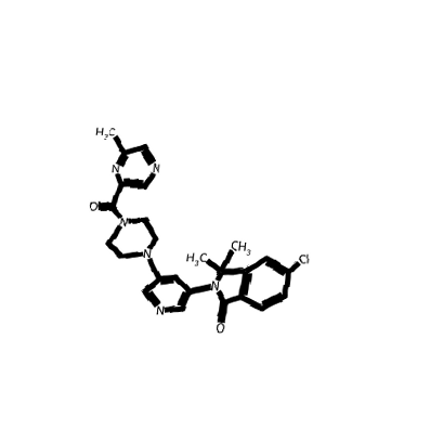 Cc1cncc(C(=O)N2CCN(c3cncc(N4C(=O)c5ccc(Cl)cc5C4(C)C)c3)CC2)n1